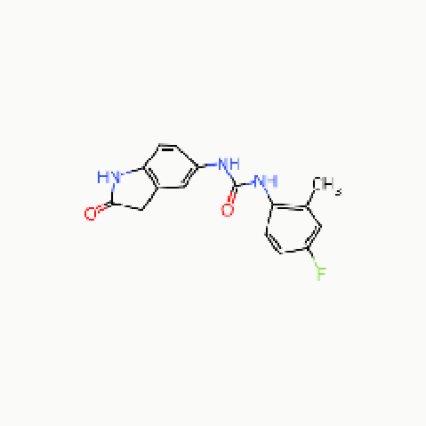 Cc1cc(F)ccc1NC(=O)Nc1ccc2c(c1)CC(=O)N2